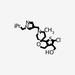 CC(C)Cn1cc(CN2CC[C@]3(C[C@@H]2C)OCCc2c3sc(Cl)c2CO)cn1